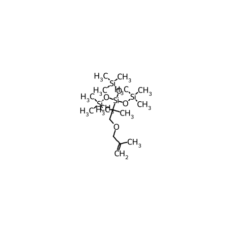 C=C(C)COCC(C)(C)[Si](O[Si](C)(C)C)(O[Si](C)(C)C)O[Si](C)(C)C